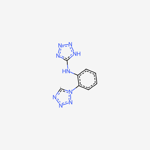 [c]1nnnn1-c1ccccc1Nc1nnn[nH]1